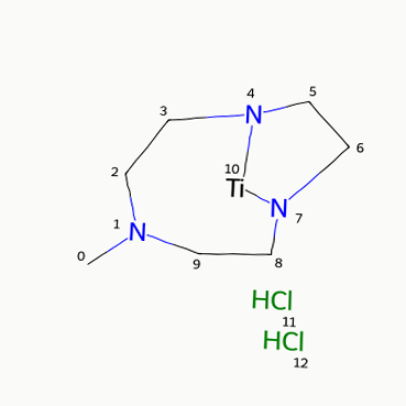 CN1CC[N]2CC[N](CC1)[Ti]2.Cl.Cl